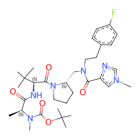 C[C@@H](C(=O)N[C@H](C(=O)N1CCC[C@H]1CN(CCc1ccc(F)cc1)C(=O)c1cn(C)cn1)C(C)(C)C)N(C)C(=O)OC(C)(C)C